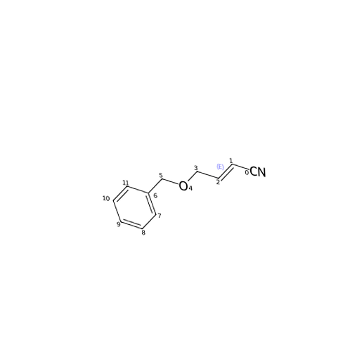 N#C/C=C/COCc1ccccc1